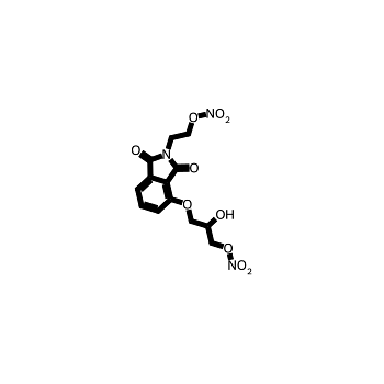 O=C1c2cccc(OCC(O)CO[N+](=O)[O-])c2C(=O)N1CCO[N+](=O)[O-]